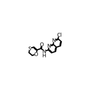 O=C(Nc1ccc2ccc(Cl)nc2n1)C1=CSCCO1